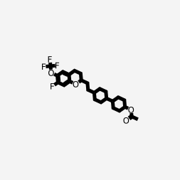 CC(=O)OC1CCC(C2CCC(CCC3CCc4cc(OC(F)(F)F)c(F)cc4O3)CC2)CC1